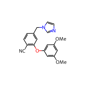 COc1cc(OC)cc(Oc2cc(Cn3ccnc3)ccc2C#N)c1